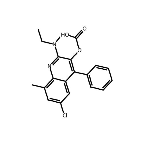 CCN(C)c1nc2c(C)cc(Cl)cc2c(-c2ccccc2)c1OC(=O)O